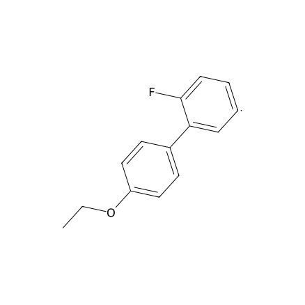 CCOc1ccc(-c2c[c]ccc2F)cc1